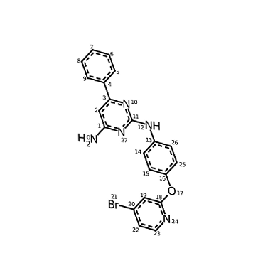 Nc1cc(-c2ccccc2)nc(Nc2ccc(Oc3cc(Br)ccn3)cc2)n1